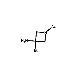 CCC1(N)CN(C(C)=O)C1